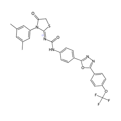 Cc1cc(C)cc(N2C(=O)CS/C2=N\C(=O)Nc2ccc(-c3nnc(-c4ccc(OC(F)(F)F)cc4)o3)cc2)c1